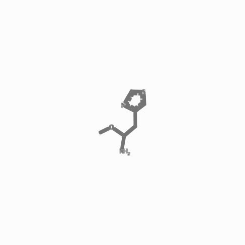 COC(N)Cc1cs[c]n1